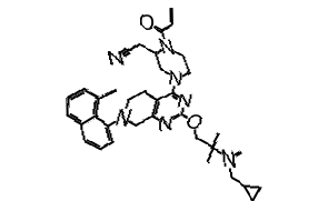 C=CC(=O)N1CCN(c2nc(OCC(C)(C)N(C)CC3CC3)nc3c2CCN(c2cccc4cccc(C)c24)C3)CC1CC#N